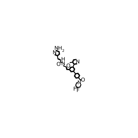 Cc1ccncc1-c1cc(-c2ccc(C(=O)N3CCC(F)(F)CC3)cc2)cc2cc(CNC(=O)C=Cc3ccc(N)nc3)oc12